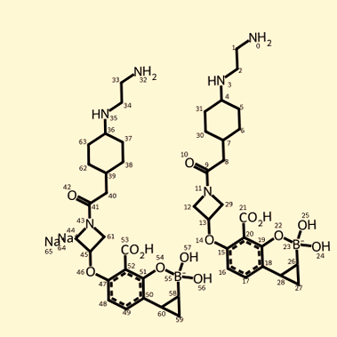 NCCNC1CCC(CC(=O)N2CC(Oc3ccc4c(c3C(=O)O)O[B-](O)(O)C3CC43)C2)CC1.NCCNC1CCC(CC(=O)N2CC(Oc3ccc4c(c3C(=O)O)O[B-](O)(O)C3CC43)C2)CC1.[Na+].[Na+]